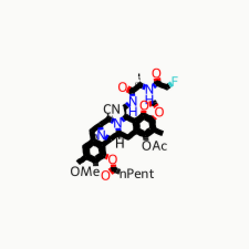 CCCCCC(=O)Oc1c(OC)c(C)cc2c1C1[C@@H]3Cc4c(OC(C)=O)c(C)c5c(c4[C@H](CNC(=O)[C@H](C)NC(=O)CF)N3[C@@H](C#N)C(C2)N1C)OCO5